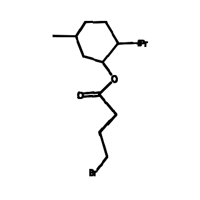 CC1CCC(C(C)C)C(OC(=O)CCCBr)C1